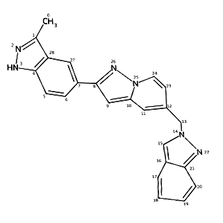 Cc1n[nH]c2ccc(-c3cc4cc(Cn5cc6ccccc6n5)ccn4n3)cc12